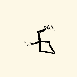 CC1(CN)CCC1